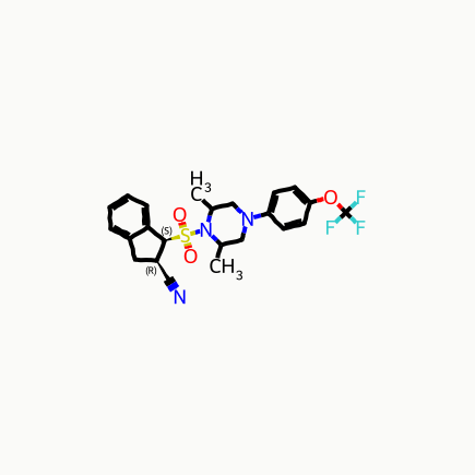 CC1CN(c2ccc(OC(F)(F)F)cc2)CC(C)N1S(=O)(=O)[C@@H]1c2ccccc2C[C@@H]1C#N